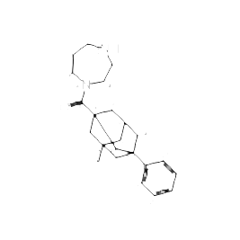 CC12CC3CC(C(=O)N4CCCNCC4)(C1)CC(c1ccccc1)(C3)C2